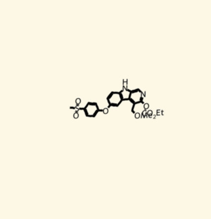 CCOC(=O)Oc1ncc2[nH]c3ccc(Oc4ccc(S(C)(=O)=O)cc4)cc3c2c1COC